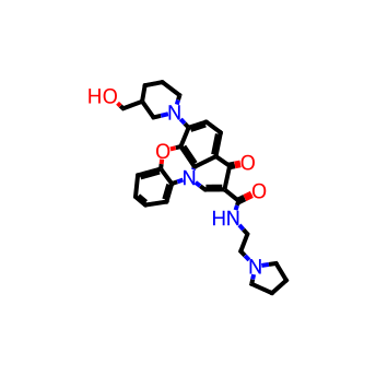 O=C(NCCN1CCCC1)c1cn2c3c(c(N4CCCC(CO)C4)ccc3c1=O)Oc1ccccc1-2